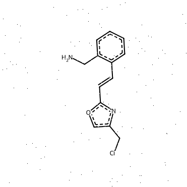 NCc1ccccc1C=Cc1nc(CCl)co1